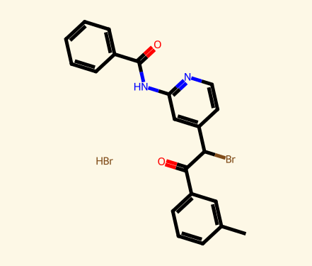 Br.Cc1cccc(C(=O)C(Br)c2ccnc(NC(=O)c3ccccc3)c2)c1